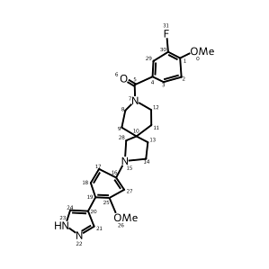 COc1ccc(C(=O)N2CCC3(CC2)CCN(c2ccc(-c4cn[nH]c4)c(OC)c2)C3)cc1F